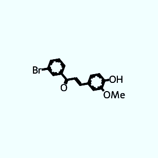 COc1cc(C=CC(=O)c2cccc(Br)c2)ccc1O